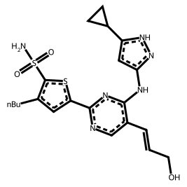 CCCCc1cc(-c2ncc(C=CCO)c(Nc3cc(C4CC4)[nH]n3)n2)sc1S(N)(=O)=O